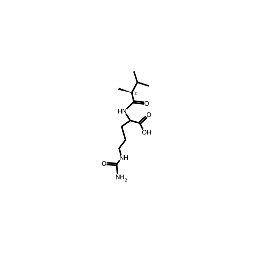 CC(C)[C@H](C)C(=O)NC(CCCNC(N)=O)C(=O)O